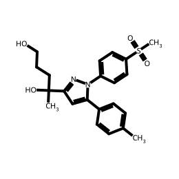 Cc1ccc(-c2cc(C(C)(O)CCCO)nn2-c2ccc(S(C)(=O)=O)cc2)cc1